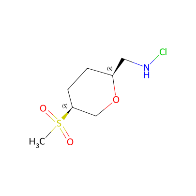 CS(=O)(=O)[C@H]1CC[C@@H](CNCl)OC1